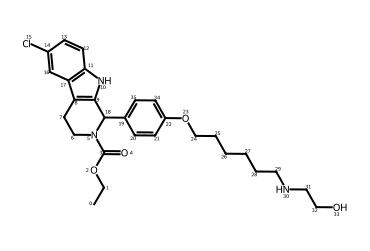 CCOC(=O)N1CCc2c([nH]c3ccc(Cl)cc23)C1c1ccc(OCCCCCCNCCO)cc1